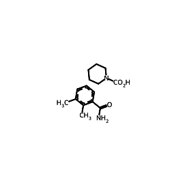 Cc1cccc(C(N)=O)c1C.O=C(O)N1CCCCC1